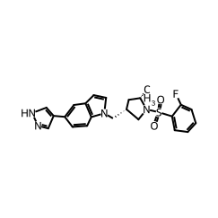 C[C@H]1C[C@@H](Cn2ccc3cc(-c4cn[nH]c4)ccc32)CN1S(=O)(=O)c1ccccc1F